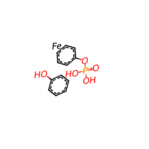 O=P(O)(O)Oc1ccccc1.Oc1ccccc1.[Fe]